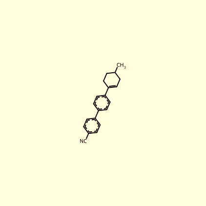 CC1CC=C(c2ccc(-c3ccc(C#N)cc3)cc2)CC1